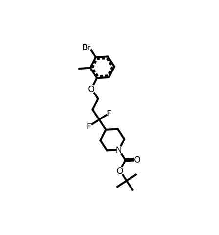 Cc1c(Br)cccc1OCCC(F)(F)C1CCN(C(=O)OC(C)(C)C)CC1